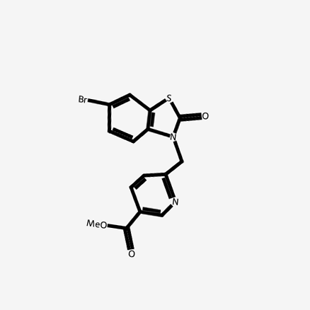 COC(=O)c1ccc(Cn2c(=O)sc3cc(Br)ccc32)nc1